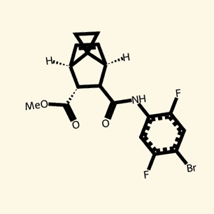 COC(=O)[C@H]1C(C(=O)Nc2cc(F)c(Br)cc2F)[C@@H]2C=C[C@H]1C21CC1